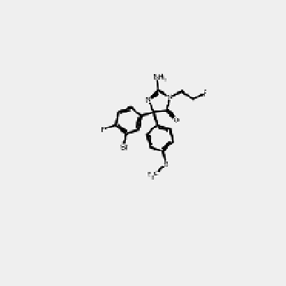 NC1=NC(c2ccc(OC(F)(F)F)cc2)(c2ccc(F)c(Br)c2)C(=O)N1CCF